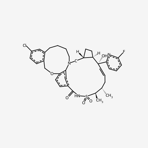 C[C@@H]1[C@@H](C)C/C=C/[C@](O)(c2cccc(F)n2)[C@@H]2CC[C@H]2CN2CCCCc3cc(Cl)ccc3COc3ccc(cc32)C(=O)NS1(=O)=O